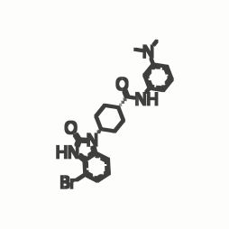 CN(C)c1cccc(NC(=O)[C@H]2CC[C@@H](n3c(=O)[nH]c4c(Br)cccc43)CC2)c1